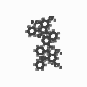 O=P1(c2ccc(PN(c3ccccc3)c3c(Nc4ccccc4)cc(C(F)(F)F)cc3C(F)(F)F)cc2)N(c2ccccc2)c2cc(C(F)(F)F)cc(C(F)(F)F)c2N1c1ccccc1